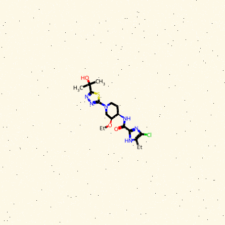 CCO[C@H]1CN(c2nnc(C(C)(C)O)s2)CC[C@H]1NC(=O)c1nc(Cl)c(CC)[nH]1